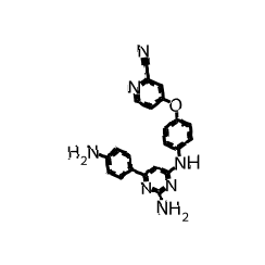 N#Cc1cc(Oc2ccc(Nc3cc(-c4ccc(N)cc4)nc(N)n3)cc2)ccn1